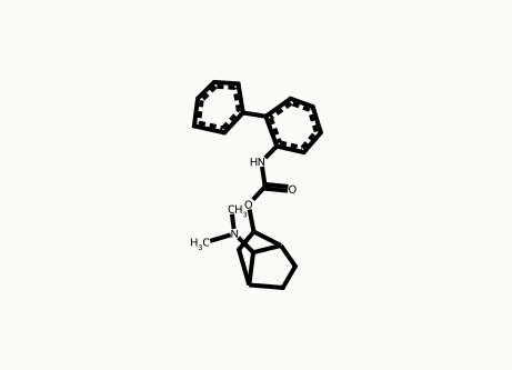 CN(C)C1C2CCC1C(OC(=O)Nc1ccccc1-c1ccccc1)C2